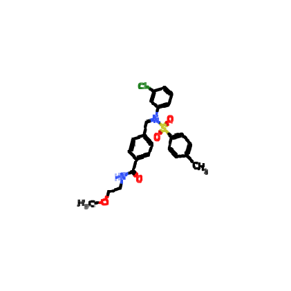 COCCNC(=O)c1ccc(CN(c2cccc(Cl)c2)S(=O)(=O)c2ccc(C)cc2)cc1